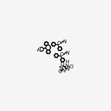 CN(C)CCOC(c1ccccc1)c1ccccc1.CN(C)CCOC(c1ccccc1)c1ccccc1.CN1CCC(=C2c3ccccc3C=Cc3ccccc32)CC1.Cn1c(=O)c2[nH]c(Cl)nc2n(C)c1=O